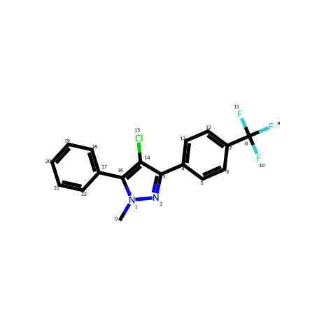 Cn1nc(-c2ccc(C(F)(F)F)cc2)c(Cl)c1-c1ccccc1